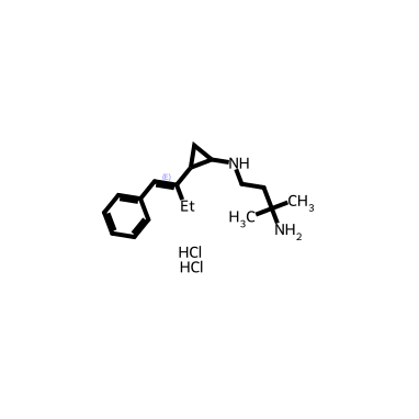 CC/C(=C\c1ccccc1)C1CC1NCCC(C)(C)N.Cl.Cl